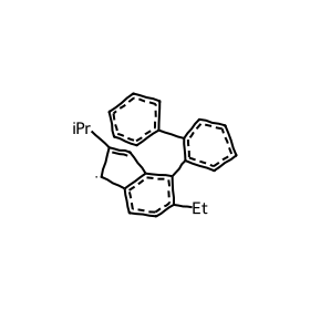 CCc1ccc2c(c1-c1ccccc1-c1ccccc1)C=C(C(C)C)[CH]2